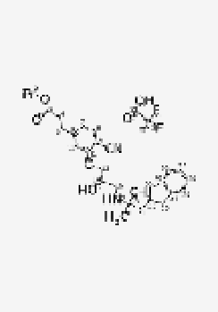 CC(C)OC(=O)CCc1ccc(C#N)c(OC[C@H](O)CNC(C)(C)CC2Cc3ccccc3C2)c1.O=C(O)C(F)(F)F